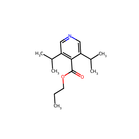 CCCOC(=O)c1c(C(C)C)cncc1C(C)C